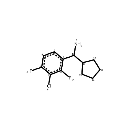 NC(c1ccc(F)c(Cl)c1F)C1CCCC1